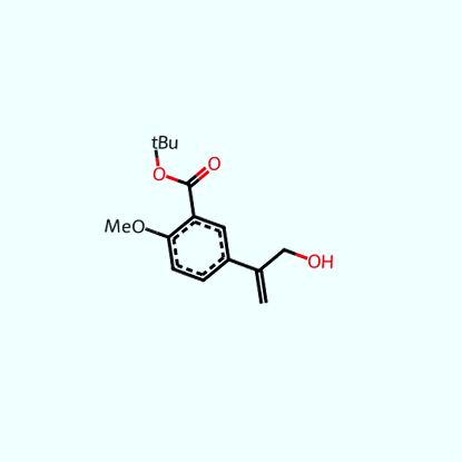 C=C(CO)c1ccc(OC)c(C(=O)OC(C)(C)C)c1